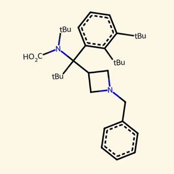 CC(C)(C)c1cccc(C(C2CN(Cc3ccccc3)C2)(N(C(=O)O)C(C)(C)C)C(C)(C)C)c1C(C)(C)C